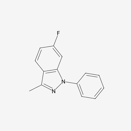 Cc1nn(-c2ccccc2)c2cc(F)ccc12